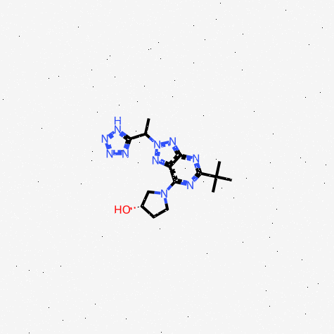 CC(c1nnn[nH]1)n1nc2nc(C(C)(C)C)nc(N3CC[C@H](O)C3)c2n1